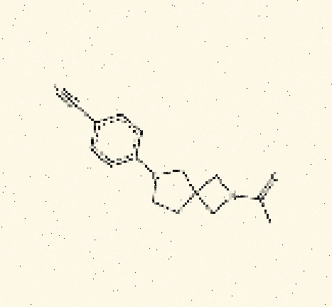 CC(=O)N1CC2(CCN(c3ccc(C#N)cc3)C2)C1